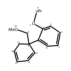 CCCOc1ccccc1C1(COC)C=CC=CC1